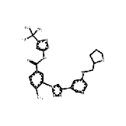 Cc1ccc(C(=O)Nc2cc(C(C)(C)C)on2)cc1-n1cc(-c2cncc(NCC3CCCO3)c2)nn1